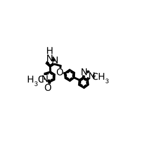 Cn1cc(-c2c[nH]nc2COc2ccc(-c3cccc4c3ncn4C)cc2)ccc1=O